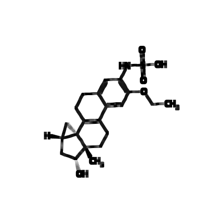 CCOc1cc2c(cc1NS(=O)(=O)O)CCC1=C2CC[C@]2(C)[C@H](O)C[C@@H]3C[C@@]132